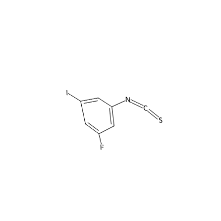 Fc1cc(I)cc(N=C=S)c1